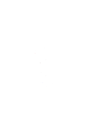 CN1CCCC1CCOc1ccccc1O